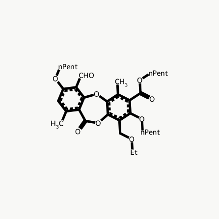 CCCCCOC(=O)c1c(C)c2c(c(COCC)c1OCCCCC)OC(=O)c1c(C)cc(OCCCCC)c(C=O)c1O2